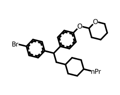 CCCC1CCC(CC(c2ccc(Br)cc2)c2ccc(OC3CCCCO3)cc2)CC1